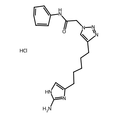 Cl.Nc1nc(CCCCCc2cn(CC(=O)Nc3ccccc3)nn2)c[nH]1